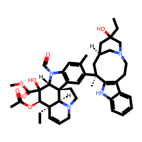 CCC1(O)C[C@H]2CN(CCc3c([nH]c4ccccc34)[C@@](C)(c3cc4c(cc3C)N(C=O)[C@H]3C(O)(C(=O)OC)[C@H](OC(C)=O)[C@]5(CC)C=CCN6CC[C@]43[C@@H]65)C2)C1